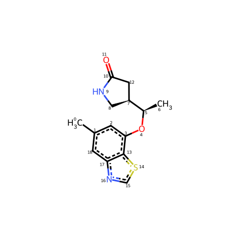 Cc1cc(O[C@H](C)[C@H]2CNC(=O)C2)c2scnc2c1